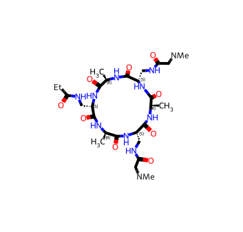 CCC(=O)NC[C@@H]1NC(=O)[C@@H](C)NC(=O)[C@H](CNC(=O)CNC)NC(=O)[C@@H](C)NC(=O)[C@H](CNC(=O)CNC)NC(=O)[C@@H](C)NC1=O